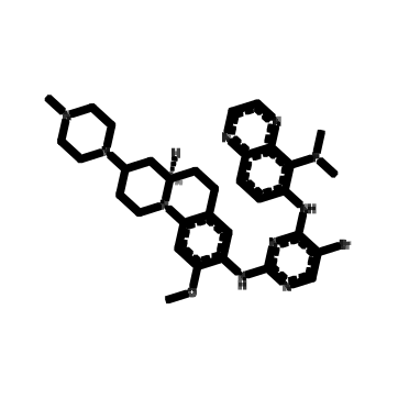 COc1cc2c(cc1Nc1ncc(Br)c(Nc3ccc4nccnc4c3P(C)C)n1)CC[C@@H]1CC(N3CCN(C)CC3)CCN21